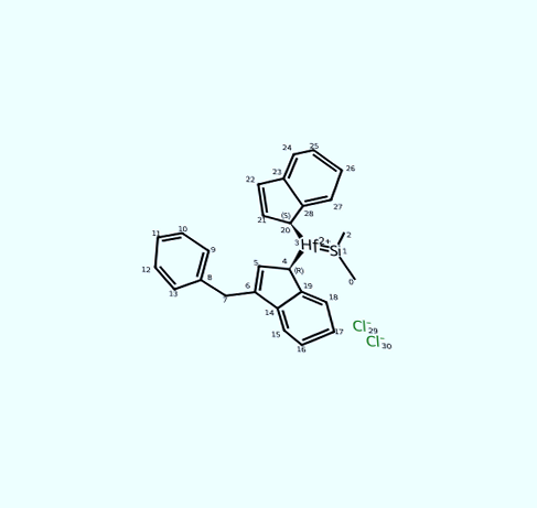 C[Si](C)=[Hf+2]([C@@H]1C=C(Cc2ccccc2)c2ccccc21)[C@H]1C=Cc2ccccc21.[Cl-].[Cl-]